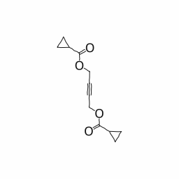 O=C(OCC#CCOC(=O)C1CC1)C1CC1